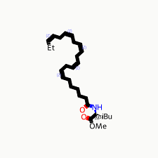 CC/C=C\C/C=C\C/C=C\C/C=C\C/C=C\CCCCCC(=O)N[C@H](C(=O)OC)[C@@H](C)CC